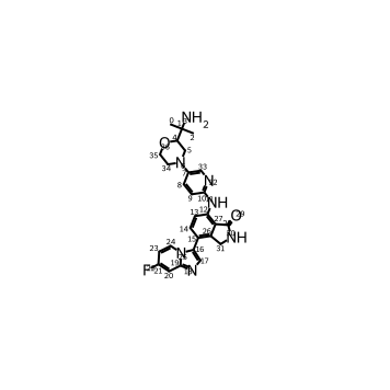 CC(C)(N)C1CN(c2ccc(Nc3ccc(-c4cnc5cc(F)ccn45)c4c3C(=O)NC4)nc2)CCO1